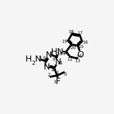 CC(C)(F)c1nc(N)nc(N[C@@H]2CCOc3ccccc32)n1